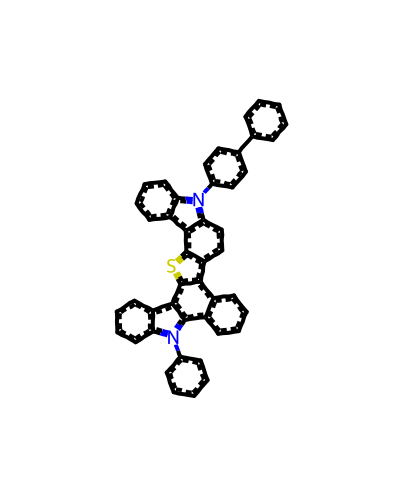 c1ccc(-c2ccc(-n3c4ccccc4c4c5sc6c(c7ccccc7c7c6c6ccccc6n7-c6ccccc6)c5ccc43)cc2)cc1